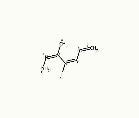 C=C/C=C(I)\C(C)=N/N